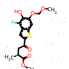 COCOc1cc2sc(C(=O)C[C@H](C)C(=O)OC)cc2c(F)c1O